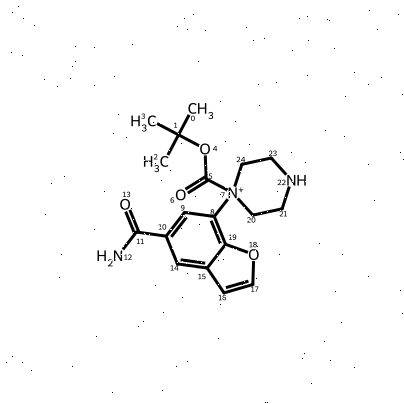 CC(C)(C)OC(=O)[N+]1(c2cc(C(N)=O)cc3ccoc23)CCNCC1